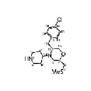 CSC[C@H]1CN(C2CCNCC2)[C@@H](Cc2ccc(Cl)cc2)CO1